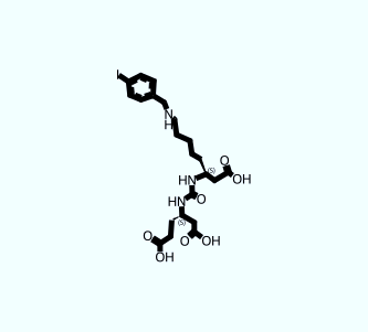 O=C(O)CC[C@@H](CC(=O)O)NC(=O)N[C@@H](CCCCCNCc1ccc(I)cc1)CC(=O)O